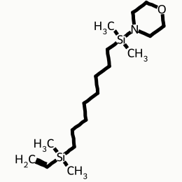 C=C[Si](C)(C)CCCCCCCC[Si](C)(C)N1CCOCC1